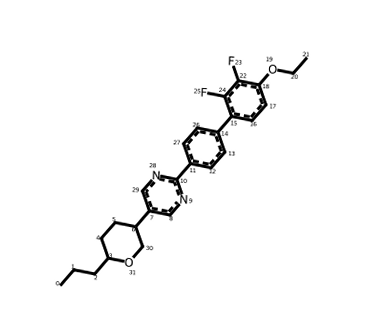 CCCC1CCC(c2cnc(-c3ccc(-c4ccc(OCC)c(F)c4F)cc3)nc2)CO1